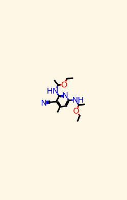 CCOC(C)Nc1cc(C)c(C#N)c(NC(C)OCC)n1